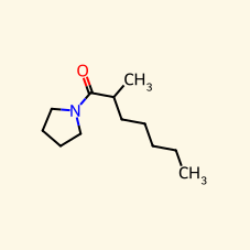 CCCCCC(C)C(=O)N1CCCC1